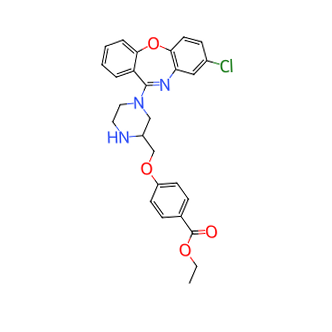 CCOC(=O)c1ccc(OCC2CN(C3=Nc4cc(Cl)ccc4Oc4ccccc43)CCN2)cc1